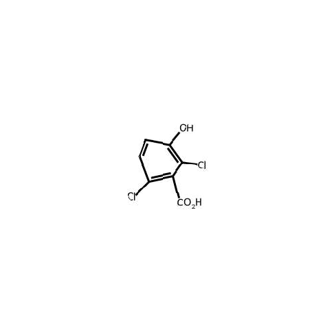 O=C(O)c1c(Cl)ccc(O)c1Cl